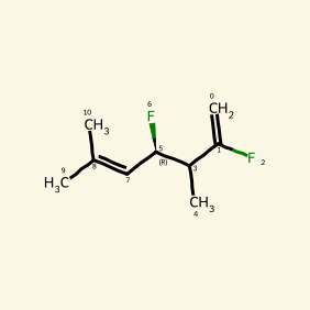 C=C(F)C(C)[C@H](F)C=C(C)C